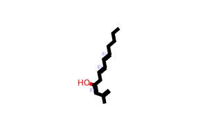 C=C(C)/C=C(/O)C/C=C/C=C/CCCC